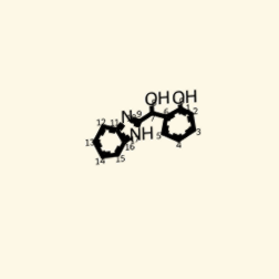 Oc1ccccc1C(O)c1nc2ccccc2[nH]1